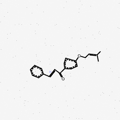 CC(C)=CCOc1ccc(C(=O)/C=C/c2ccccc2)cc1